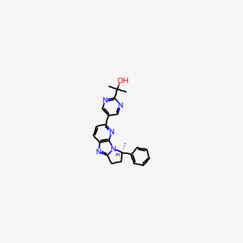 CC(C)(O)c1ncc(-c2ccc3nc4n(c3n2)[C@@](C)(c2ccccc2)CC4)cn1